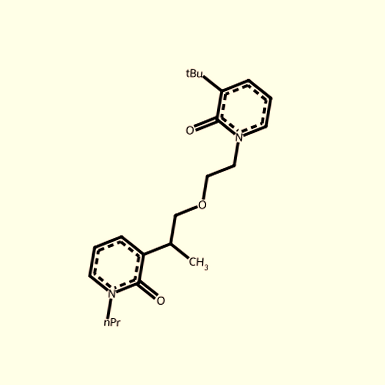 CCCn1cccc(C(C)COCCn2cccc(C(C)(C)C)c2=O)c1=O